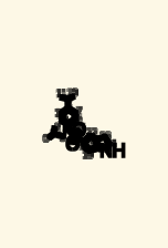 CC(C)CN(c1ccc(C(C)C)cc1)S(=O)(=O)c1ccc2c(c1)CCN2